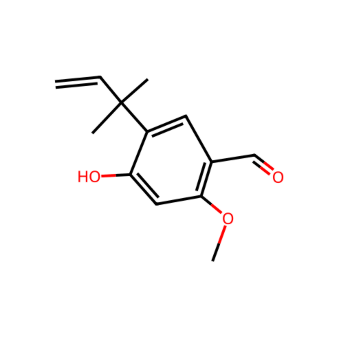 C=CC(C)(C)c1cc(C=O)c(OC)cc1O